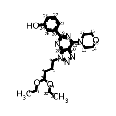 CCOC(CCCn1nnc2c(N3CCOCC3)nc(-c3cccc(O)c3)nc21)OCC